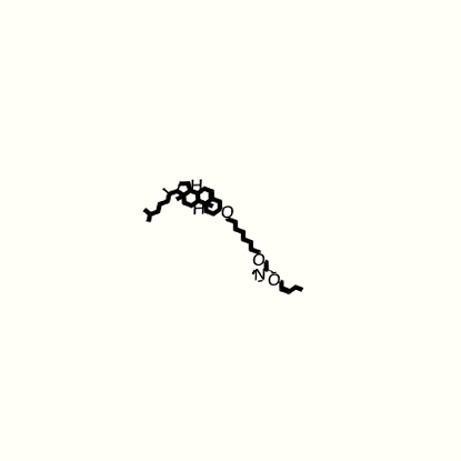 CC/C=C\COC[C@@H](COCCCCCCCCOC1CCC2(C)C(=CCC3[C@@H]2CCC2(C)[C@@H]([C@H](C)CCCC(C)C)CC[C@@H]32)C1)N(C)C